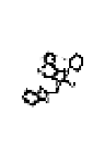 C[C@@H]1CCCC[C@@H]1n1c(=O)n(Cc2nc3ccccc3o2)c2cnc3[nH]ccc3c21